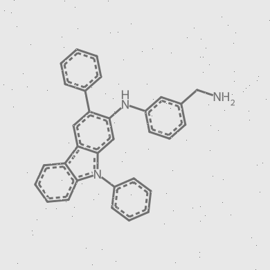 NCc1cccc(Nc2cc3c(cc2-c2ccccc2)c2ccccc2n3-c2ccccc2)c1